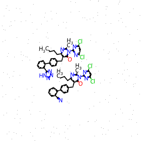 CCCCc1nc(C)n(-c2nc(Cl)cc(Cl)n2)c(=O)c1Cc1ccc(-c2ccccc2-c2nnn[nH]2)cc1.CCCCc1nc(C)n(-c2nc(Cl)cc(Cl)n2)c(=O)c1Cc1ccc(-c2ccccc2C#N)cc1